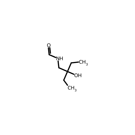 CCC(O)(CC)CNC=O